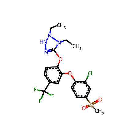 CCN1NN=C(Oc2ccc(C(F)(F)F)cc2Oc2ccc(S(C)(=O)=O)cc2Cl)N1CC